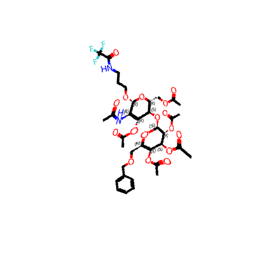 CC(=O)N[C@H]1[C@H](OCCCNC(=O)C(F)(F)F)O[C@H](COC(C)=O)[C@@H](O[C@@H]2O[C@H](COCc3ccccc3)[C@H](OC(C)=O)[C@H](OC(C)=O)[C@H]2OC(C)=O)[C@@H]1OC(C)=O